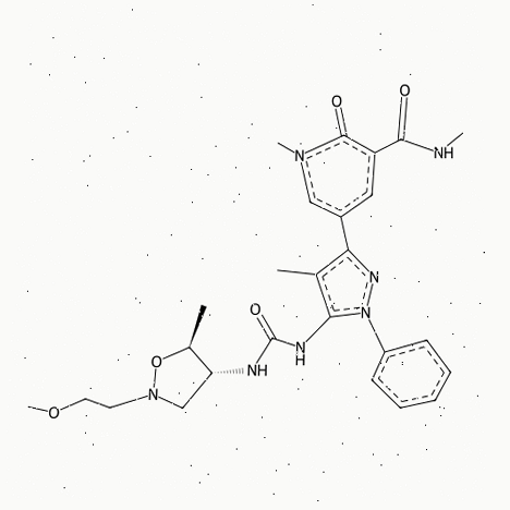 CNC(=O)c1cc(-c2nn(-c3ccccc3)c(NC(=O)N[C@@H]3CN(CCOC)O[C@H]3C)c2C)cn(C)c1=O